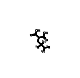 [2H]C([2H])C([2H])([2H])CC(C(=O)O)C(=O)O